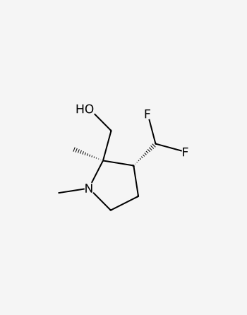 CN1CC[C@@H](C(F)F)[C@]1(C)CO